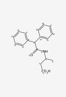 CC(CC(=O)O)NC(=O)C(c1ccccc1)c1ccccc1